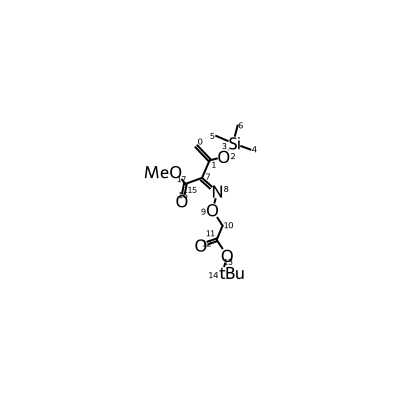 C=C(O[Si](C)(C)C)/C(=N/OCC(=O)OC(C)(C)C)C(=O)OC